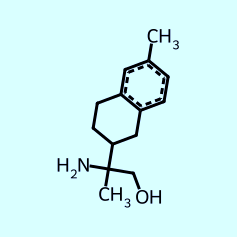 Cc1ccc2c(c1)CCC(C(C)(N)CO)C2